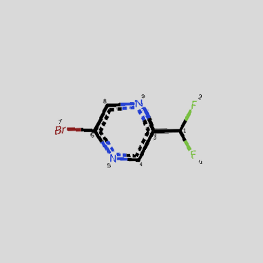 FC(F)c1cnc(Br)cn1